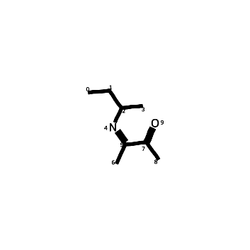 CCC(C)N=C(C)C(C)=O